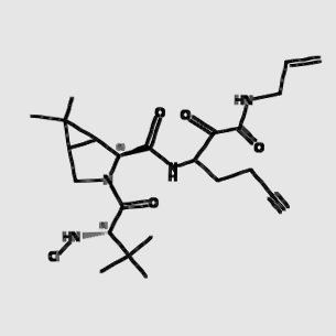 C#CCCC(NC(=O)[C@@H]1C2C(CN1C(=O)[C@@H](NCl)C(C)(C)C)C2(C)C)C(=O)C(=O)NCC=C